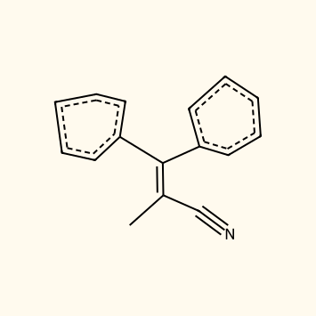 CC(C#N)=C(c1ccccc1)c1ccccc1